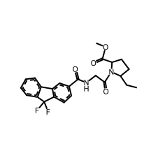 CCC1CCC(C(=O)OC)N1C(=O)CNC(=O)c1ccc2c(c1)-c1ccccc1C2(F)F